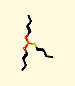 CCC=COP(OC=CCC)SC=CCC